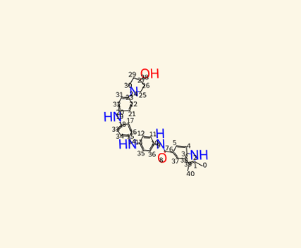 Cc1[nH]c2ccc(C(=O)Nc3ccc(Nc4ccc(Nc5ccc(N6CCC(O)CC6)cc5)cc4)cc3)cc2c1C